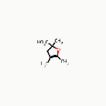 CC1=C(C)OC(C)(C(=O)O)C1